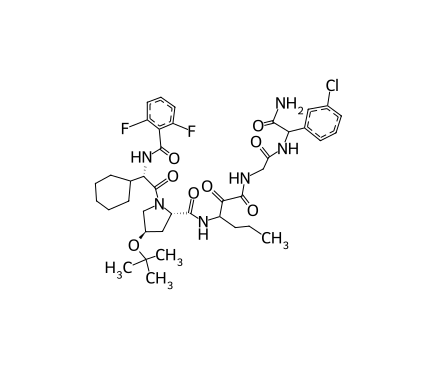 CCCC(NC(=O)[C@@H]1C[C@@H](OC(C)(C)C)CN1C(=O)[C@@H](NC(=O)c1c(F)cccc1F)C1CCCCC1)C(=O)C(=O)NCC(=O)NC(C(N)=O)c1cccc(Cl)c1